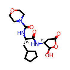 O=C1C[C@H](NC(=O)[C@H](CC2CCCC2)NC(=O)N2CCOCC2)C(O)O1